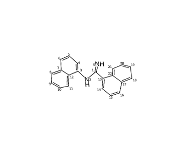 N=C(Nc1cccc2ccccc12)c1cccc2ccccc12